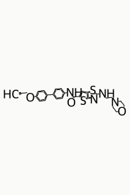 C#CCOc1ccc(-c2ccc(NC(=O)c3cc4sc(NCCN5CCOCC5)nc4s3)cc2)cc1